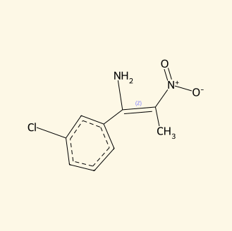 C/C(=C(/N)c1cccc(Cl)c1)[N+](=O)[O-]